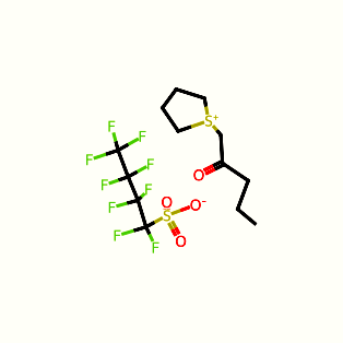 CCCC(=O)C[S+]1CCCC1.O=S(=O)([O-])C(F)(F)C(F)(F)C(F)(F)C(F)(F)F